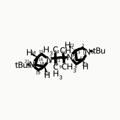 CC(C)(C)N1C[C@H]2C[C@@H]1CN2C(C)(C)C(C)(C)N1C[C@@H]2C[C@H]1CN2C(C)(C)C